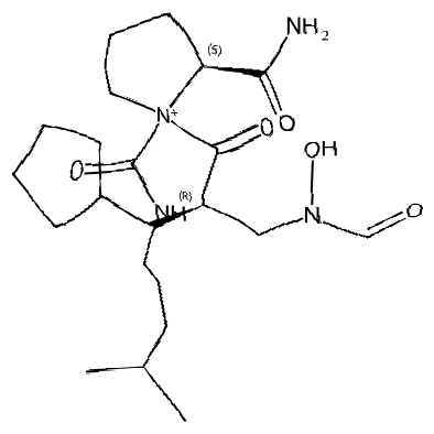 CC(C)CCNC(=O)[N+]1(C(=O)[C@H](CC2CCCC2)CN(O)C=O)CCC[C@H]1C(N)=O